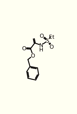 C=C(NS(=O)(=O)CC)C(=O)OCc1ccccc1